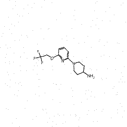 NC1CCN(c2cccc(OCC(F)(F)F)n2)CC1